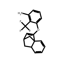 Nc1cccc(OC2=CC3CC4C=CC=CC24C3)c1C(F)(F)F